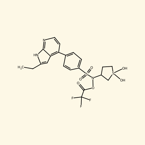 CCc1cc2c(-c3ccc(S(=O)(=O)N(OC(=O)C(F)(F)F)C4CCS(O)(O)C4)cc3)ccnc2[nH]1